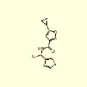 CC(C)(C)C(NC(=O)c1cc(C2CC2)on1)c1cscn1